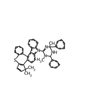 CN1C(n2c3ccccc3c3c4c(ccc32)C2=C(C=CC2(C)C)Sc2ccccc2-4)=NC(C)(c2ccccc2)NC1c1ccccc1